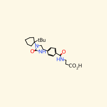 CC(C)(C)C1(N2CC(c3ccc(C(=O)NCCC(=O)O)cc3)NC2=O)CCCCC1